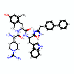 Cc1cc(O)cc(C)c1C[C@H](NC(=O)[C@H](N)C1CCN(C(=N)N)CC1)C(=O)NC(Cc1c[nH]c2ccccc12)c1nc(Cc2ccc(-c3ccccc3)cc2)no1